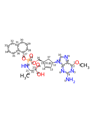 COc1nc(N)nc2c1ncn2[C@H]1C=C[C@@H](COP(=O)(N[C@@H](C)C(=O)O)Oc2cccc3ccccc23)C1